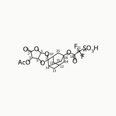 CC(=O)OC1C(=O)OC2OC3(OC21)C1CC2CC3CC(OC(=O)C(F)(F)S(=O)(=O)O)(C2)C1